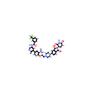 Cc1ncc(NC(=O)c2cccc(C(F)(F)F)c2)cc1-c1cnc(OCCN2CCN(c3ccc4c(c3)C(=O)N(C3CCC(=O)NC3=O)C4=O)CC2)c(N(C)C)c1